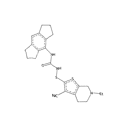 CCN1CCc2c(sc(SNC(=O)Nc3c4c(cc5c3CCC5)CCC4)c2C#N)C1